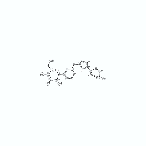 OC[C@H]1O[C@@H](c2cccc(Cc3ccc(-c4ccc(F)cc4)s3)c2)[C@H](O)[C@@H](O)[C@@H]1O